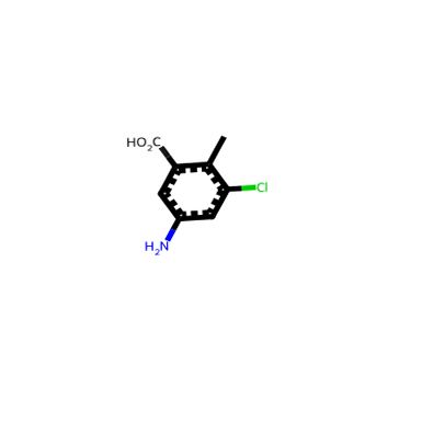 Cc1c(Cl)cc(N)cc1C(=O)O